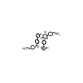 NCC1CCC(C(=O)N[C@@H](Cc2cccc(-c3ccc(C(=O)N4CCN(CCO)CC4)cc3)c2)C(=O)Nc2ccc(-c3nnn[nH]3)cc2)CC1